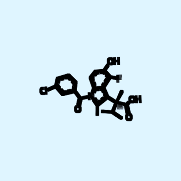 Cc1c([C@](C)(C(=O)O)C(C)C)c2c(F)c(O)ccc2n1C(=O)c1cccc(Cl)c1